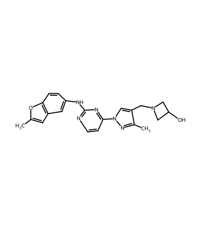 Cc1cc2cc(Nc3nccc(-n4cc(CN5CC(O)C5)c(C)n4)n3)ccc2o1